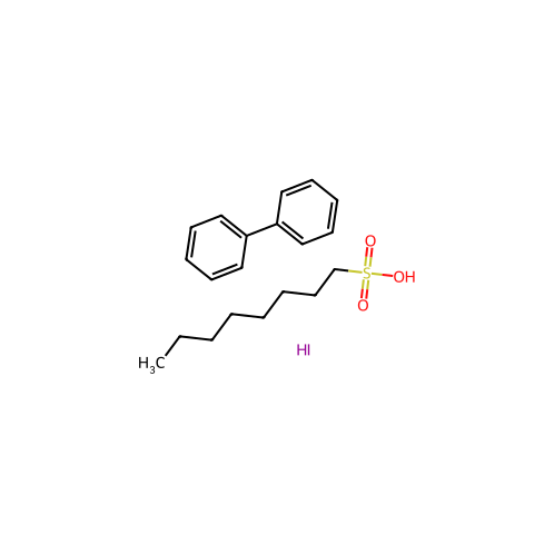 CCCCCCCCS(=O)(=O)O.I.c1ccc(-c2ccccc2)cc1